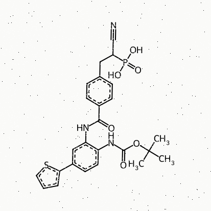 CC(C)(C)OC(=O)Nc1ccc(-c2cccs2)cc1NC(=O)c1ccc(CC(C#N)P(=O)(O)O)cc1